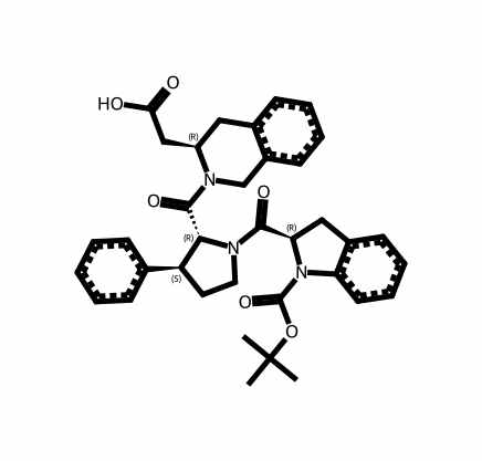 CC(C)(C)OC(=O)N1c2ccccc2C[C@@H]1C(=O)N1CC[C@@H](c2ccccc2)[C@@H]1C(=O)N1Cc2ccccc2C[C@@H]1CC(=O)O